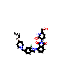 CCSC1CCN(Cc2ccc(CNc3cccc4c3C(=O)N(C3CCC(CO)NC3O)C4=O)c(F)c2)CC1